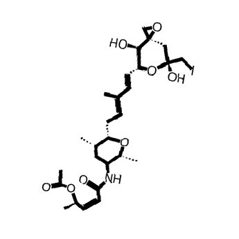 CC(=O)O[C@H](C)/C=C\C(=O)NC1C[C@H](C)[C@H](C/C=C(C)/C=C/[C@H]2O[C@@](O)(CI)C[C@@]3(CO3)[C@@H]2O)O[C@@H]1C